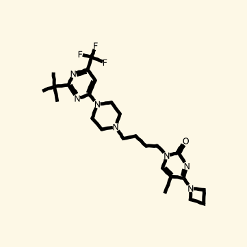 Cc1cn(CCCCN2CCN(c3cc(C(F)(F)F)nc(C(C)(C)C)n3)CC2)c(=O)nc1N1CCC1